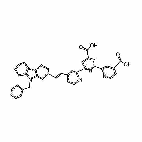 O=C(O)c1ccnc(-c2cc(C(=O)O)cc(-c3cc(/C=C/c4ccc5c6ccccc6n(Cc6ccccc6)c5c4)ccn3)n2)c1